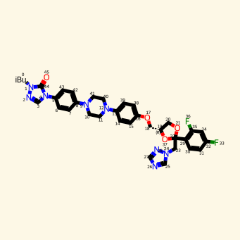 CCC(C)n1ncn(-c2ccc(N3CCN(c4ccc(OC[C@@H]5COC(Cn6cncn6)(c6ccc(F)cc6F)O5)cc4)CC3)cc2)c1=O